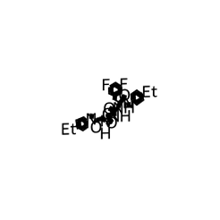 CCc1ccc(N(C)C(=O)CNS(=O)(=O)NC(=O)N[C@@H](Cc2cc(F)cc(F)c2)C(=O)N(C)c2ccc(CC)cc2)cc1